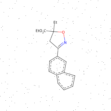 CCOC(=O)C1(CC)CC(c2ccc3ccccc3c2)=NO1